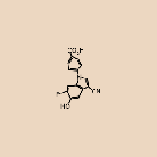 N#Cc1cn(-c2ccc(C(=O)O)cc2)c2cc(F)c(O)cc12